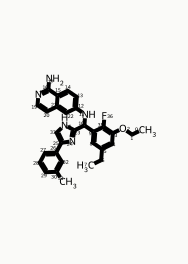 CCOc1cc(CC)cc(C(Nc2ccc3c(N)nccc3c2)c2nc(-c3cccc(C)c3)c[nH]2)c1F